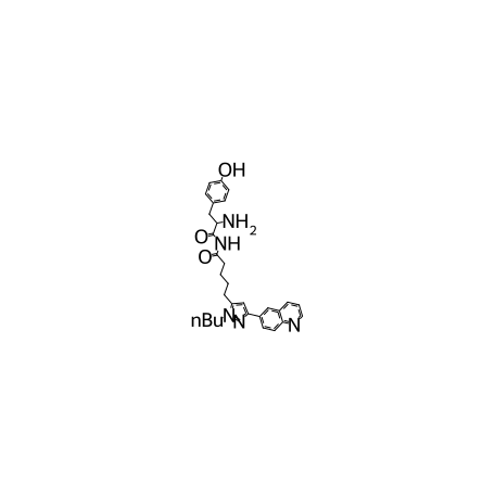 CCCCn1nc(-c2ccc3ncccc3c2)cc1CCCCC(=O)NC(=O)C(N)Cc1ccc(O)cc1